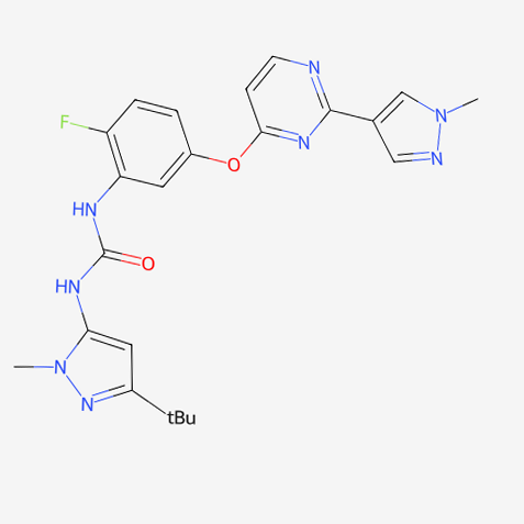 Cn1cc(-c2nccc(Oc3ccc(F)c(NC(=O)Nc4cc(C(C)(C)C)nn4C)c3)n2)cn1